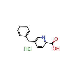 Cl.O=C(O)c1ccc(Cc2ccccc2)cn1